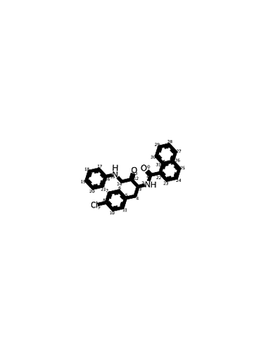 O=C(NC(Cc1ccc(Cl)cc1)C(=O)CNc1ccccc1)c1cccc2ccccc12